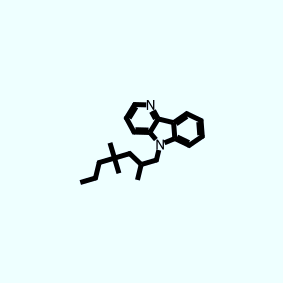 CCCC(C)(C)CC(C)Cn1c2ccccc2c2ncccc21